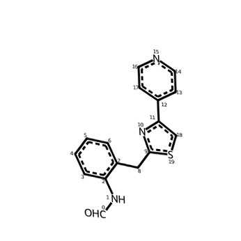 O=CNc1ccccc1Cc1nc(-c2ccncc2)cs1